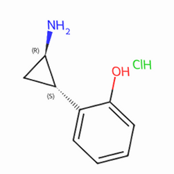 Cl.N[C@@H]1C[C@H]1c1ccccc1O